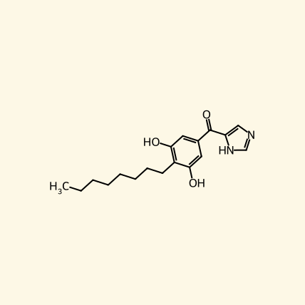 CCCCCCCCc1c(O)cc(C(=O)c2cnc[nH]2)cc1O